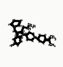 CC(C)=C1CCC(N2CCC(n3c(CNC(=O)O)c(CN4CCCC4)c4cc(F)ccc43)CC2)CC1